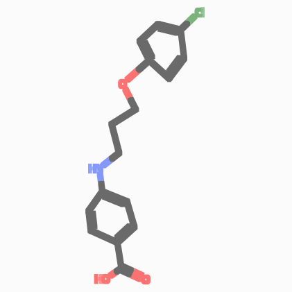 O=C(O)c1ccc(NCCCOc2ccc(Cl)cc2)cc1